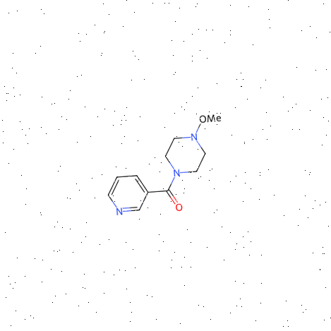 CON1CCN(C(=O)c2cccnc2)CC1